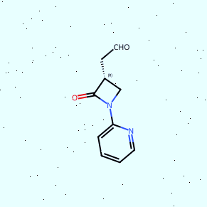 O=CC[C@@H]1CN(c2ccccn2)C1=O